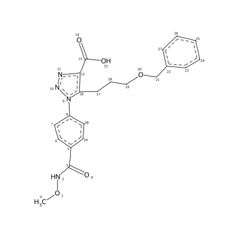 CONC(=O)c1ccc(-n2nnc(C(=O)O)c2CCCOCc2ccccc2)cc1